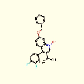 C=C(C)c1c[n+]([O-])c2cc(OCc3ccccc3)ccc2c1-c1ccc(F)c(F)c1